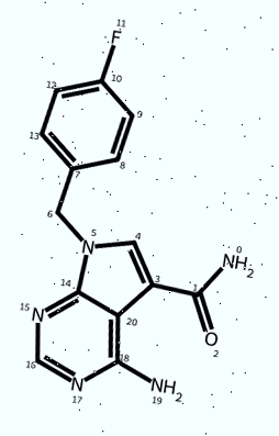 NC(=O)c1cn(Cc2ccc(F)cc2)c2ncnc(N)c12